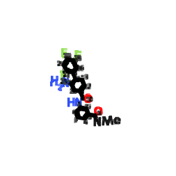 CNC(=O)c1cccc(NC(=O)C2=CCC(c3cc(F)c(F)cc3F)C(N)C2)c1